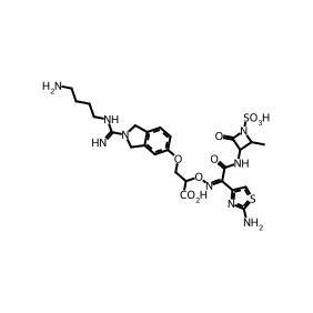 CC1C(NC(=O)/C(=N\OC(COc2ccc3c(c2)CN(C(=N)NCCCCN)C3)C(=O)O)c2csc(N)n2)C(=O)N1S(=O)(=O)O